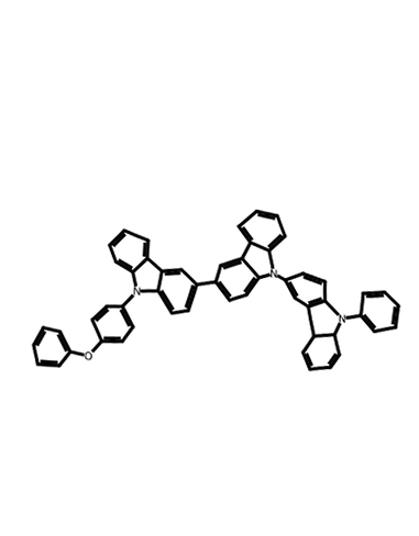 C1=CC2c3cc(-n4c5ccccc5c5cc(-c6ccc7c(c6)c6ccccc6n7-c6ccc(Oc7ccccc7)cc6)ccc54)ccc3N(c3ccccc3)C2C=C1